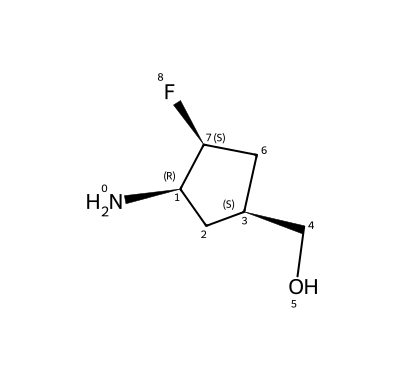 N[C@@H]1C[C@H](CO)C[C@@H]1F